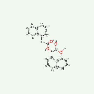 COC(=O)C(OC(=O)Cc1cccc2ccccc12)c1cccc2ccccc12